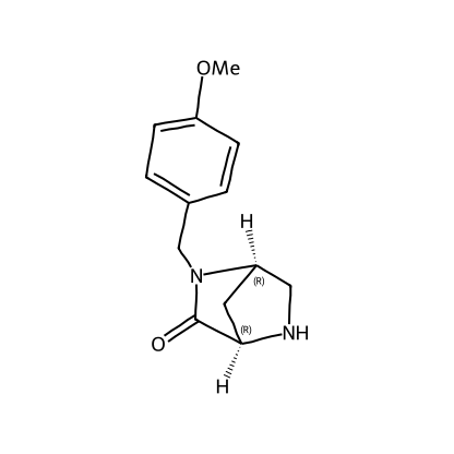 COc1ccc(CN2C(=O)[C@H]3C[C@@H]2CN3)cc1